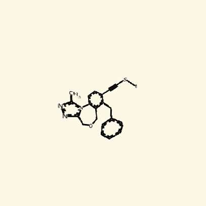 Cc1nnc2n1-c1ccc(C#CSI)c(Cc3ccccc3)c1COC2